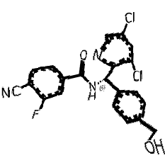 N#Cc1ccc(C(=O)N[C@@H](c2ccc(CO)cc2)c2ncc(Cl)cc2Cl)cc1F